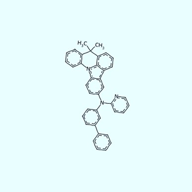 CC1(C)c2ccccc2-n2c3ccc(N(c4cccc(-c5ccccc5)c4)c4ccccn4)cc3c3cccc1c32